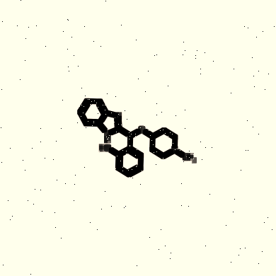 CN1CCC(OC(c2nc3ccccc3[nH]2)c2ccccc2O)CC1